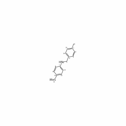 [CH2]c1ccc(CNc2ccc(SC)cc2)cc1